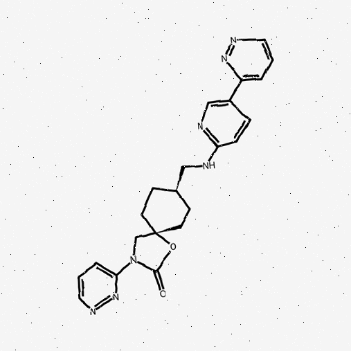 O=C1O[C@]2(CC[C@H](CNc3ccc(-c4cccnn4)cn3)CC2)CN1c1cccnn1